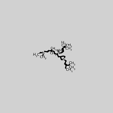 CC/C(=C/CN1CCC(CC(CCC(C)(C)/C=C/CN(CC)CC)N(C)C/C=C/C(C)(C)C)C1)C(C)C